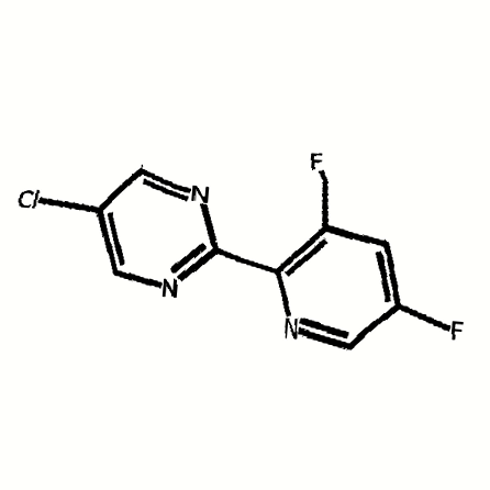 Fc1cnc(-c2n[c]c(Cl)cn2)c(F)c1